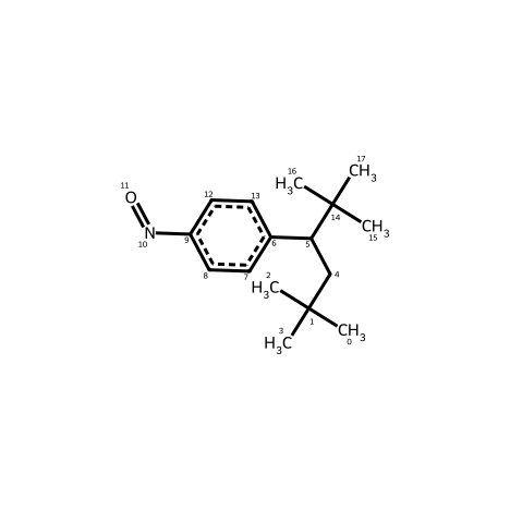 CC(C)(C)CC(c1ccc(N=O)cc1)C(C)(C)C